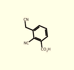 N#CCc1cccc(C(=O)O)c1C#N